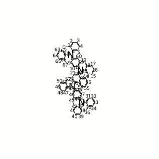 Cc1ccccc1N(c1ccc(N(c2ccccc2C)c2ccc(N(c3ccc(N(c4ccccc4C)c4ccccc4C)cc3)c3ccccc3C)c3ccccc23)cc1)c1ccccc1C